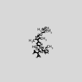 CCn1nccc1C(=O)NC(C(=O)Nc1ncc(-c2c(C)nn(COCCS(C)(C)C)c2C)cc1O)C(C1CC1)C1CC1